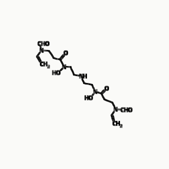 C=CN(C=O)CCC(=O)N(O)CCNCCN(O)C(=O)CCN(C=C)C=O